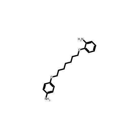 Nc1ccc(OCCCCCCCOc2ccccc2N)cc1